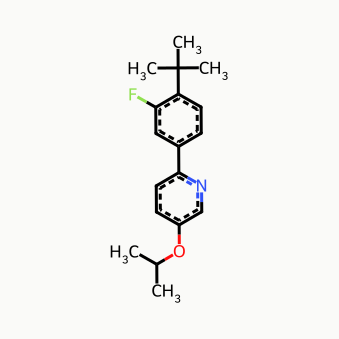 CC(C)Oc1ccc(-c2ccc(C(C)(C)C)c(F)c2)nc1